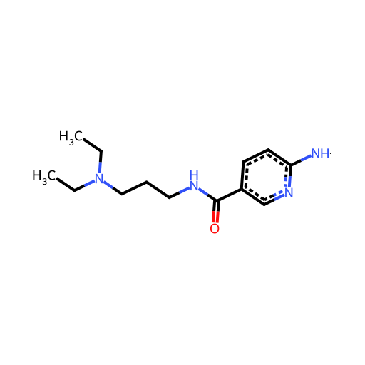 CCN(CC)CCCNC(=O)c1ccc([NH])nc1